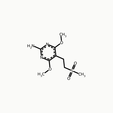 COc1nc(N)nc(OC)c1CCS(C)(=O)=O